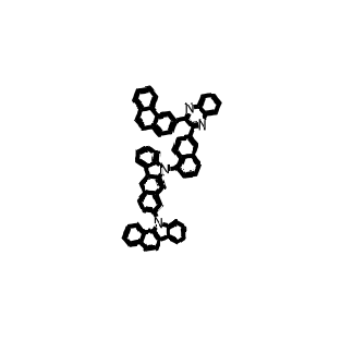 c1cc(-n2c3ccccc3c3cc4ccc(-n5c6ccccc6c6ccc7ccccc7c65)cc4cc32)c2ccc(-c3nc4ccccc4nc3-c3ccc4ccc5ccccc5c4c3)cc2c1